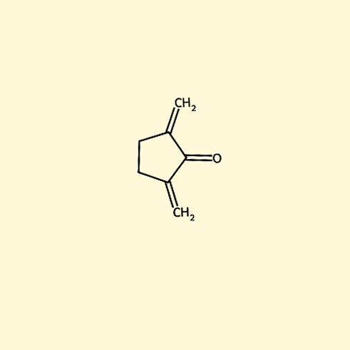 C=C1CCC(=C)C1=O